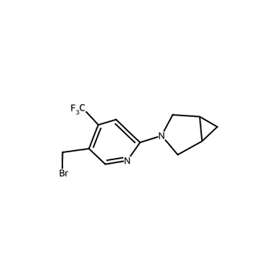 FC(F)(F)c1cc(N2CC3CC3C2)ncc1CBr